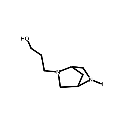 OCCCN1CC2CC1CN2I